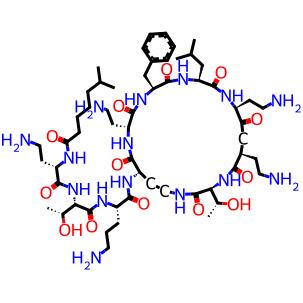 CC(C)CCCCC(=O)N[C@@H](CCN)C(=O)N[C@H](C(=O)N[C@@H](CCCN)C(=O)N[C@H]1CCNC(=O)[C@H]([C@@H](C)O)NC(=O)[C@H](CCN)CC(=O)[C@H](CCN)NC(=O)[C@H](CC(C)C)NC(=O)[C@H](Cc2ccccc2)NC(=O)[C@@H](CCN)NC1=O)[C@@H](C)O